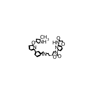 C[C@H]1C[C@H](Oc2cccc(-c3cccc(CNCC[C@H]4CN(c5ccc6c(n5)NC(=O)CO6)C(=O)O4)c3)n2)CN1